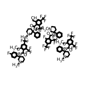 CCc1cc(C(F)(F)F)cc(C(F)(F)F)c1C(=O)NC1(c2ccccc2)CCCN(C)C1.CN1CCCC(NC(=O)c2c(F)cc(C(F)(F)F)cc2C(F)(F)F)(c2ccccc2)C1.COc1cc(C(F)(F)F)cc(C(F)(F)F)c1C(=O)NC1(c2ccc(F)cc2)CCCN(C)C1.COc1cc(C(F)(F)F)cc(C(F)(F)F)c1C(=O)NC1(c2ccccc2)CCCN(C)C1